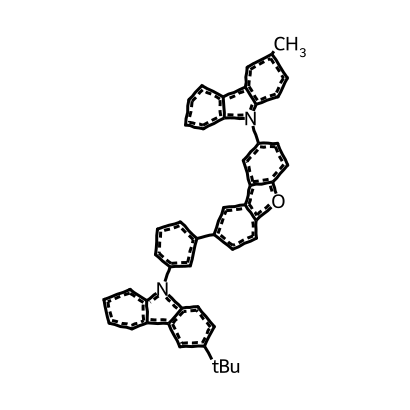 Cc1ccc2c(c1)c1ccccc1n2-c1ccc2oc3ccc(-c4cccc(-n5c6ccccc6c6cc(C(C)(C)C)ccc65)c4)cc3c2c1